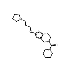 O=C(N1CCCCC1)N1CCc2sc(OCCCN3CCCC3)cc2C1